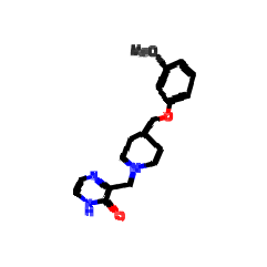 COc1cccc(OCC2CCN(Cc3ncc[nH]c3=O)CC2)c1